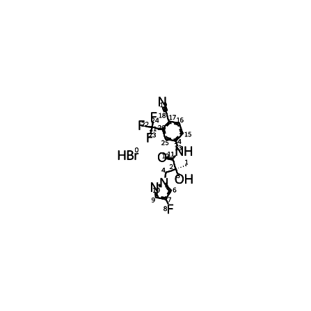 Br.C[C@](O)(Cn1cc(F)cn1)C(=O)Nc1ccc(C#N)c(C(F)(F)F)c1